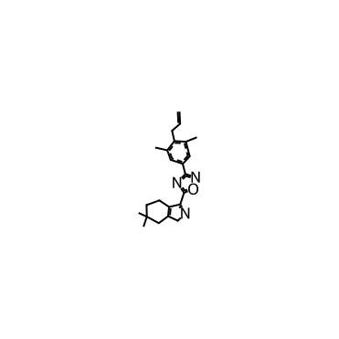 C=CCc1c(C)cc(-c2noc(C3=NCC4=C3CCC(C)(C)C4)n2)cc1C